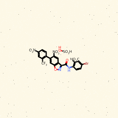 O=C(O)c1cc(Br)ccc1NC(=O)c1noc2cc(-c3ccc([N+](=O)[O-])cc3C(F)(F)F)c([N+](=O)[O-])cc12.O=S(=O)(O)O